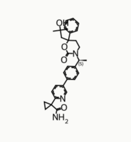 C[C@@H](c1ccc(-c2ccc(C3(C(N)=O)CC3)nc2)cc1)N1CCC(CC(C)(C)O)(c2ccccc2)OC1=O